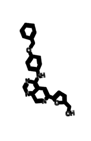 OCc1ccc(-c2cc3c(Nc4ccc(OCc5ccccc5)cc4)ncnc3cn2)o1